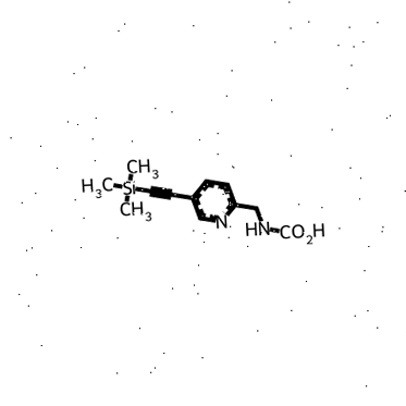 C[Si](C)(C)C#Cc1ccc(CNC(=O)O)nc1